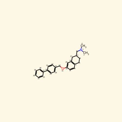 CN(C)CC1CCc2ccc(OCc3ccc(-c4ccccc4)cc3)cc2C1